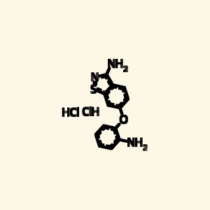 Cl.Cl.Nc1ccccc1Oc1ccc2c(N)nsc2c1